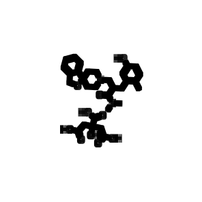 Cc1ccc(O)cc1CC(CN1CCC2(CC1)OCc1ccccc12)C(=O)N(C)C.O=C(O)CC(O)(CC(=O)O)C(=O)O